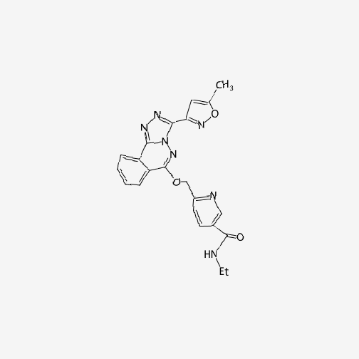 CCNC(=O)c1ccc(COc2nn3c(-c4cc(C)on4)nnc3c3ccccc23)nc1